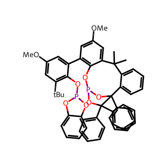 COc1cc(-c2cc(OC)cc3c2OP2OC(c4ccccc4)(c4ccccc4)C(c4ccccc4)(O2)c2ccccc2C3(C)C)c(OP2Oc3ccccc3O2)c(C(C)(C)C)c1